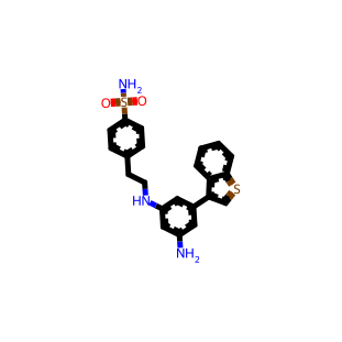 Nc1cc(NCCc2ccc(S(N)(=O)=O)cc2)cc(-c2csc3ccccc23)c1